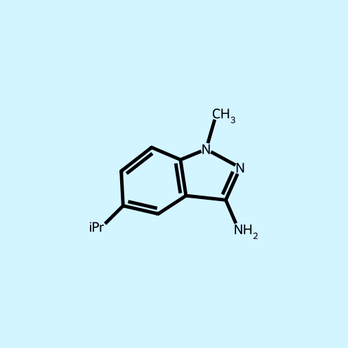 CC(C)c1ccc2c(c1)c(N)nn2C